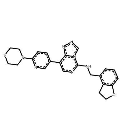 c1cc(CNc2ncc(-c3ccc(N4CCSCC4)nc3)c3nncn23)c2c(c1)OCC2